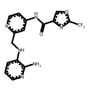 Nc1ncccc1NCc1cc(NC(=O)c2coc(C(F)(F)F)n2)ccn1